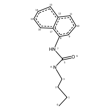 CCCC[N]C(=O)Nc1cccc2ccccc12